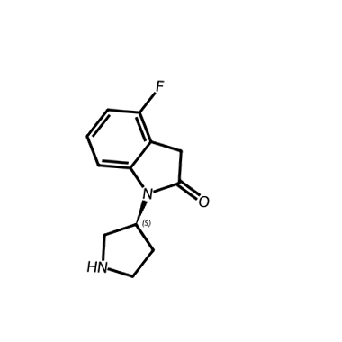 O=C1Cc2c(F)cccc2N1[C@H]1CCNC1